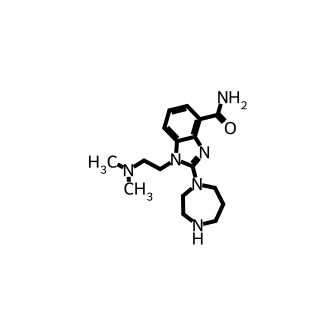 CN(C)CCn1c(N2CCCNCC2)nc2c(C(N)=O)cccc21